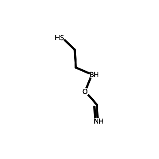 N=COBCCS